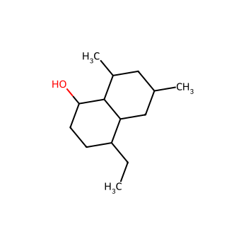 CCC1CCC(O)C2C(C)CC(C)CC12